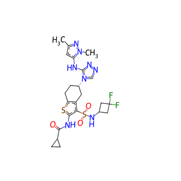 Cc1cc(Nc2nncn2[C@H]2CCc3sc(NC(=O)C4CC4)c(S(=O)(=O)NC4CC(F)(F)C4)c3C2)n(C)n1